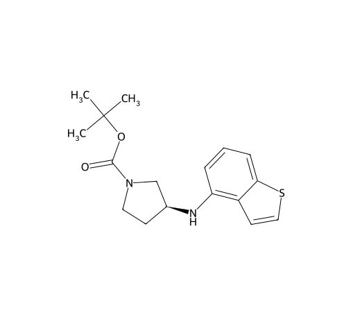 CC(C)(C)OC(=O)N1CC[C@H](Nc2cccc3sccc23)C1